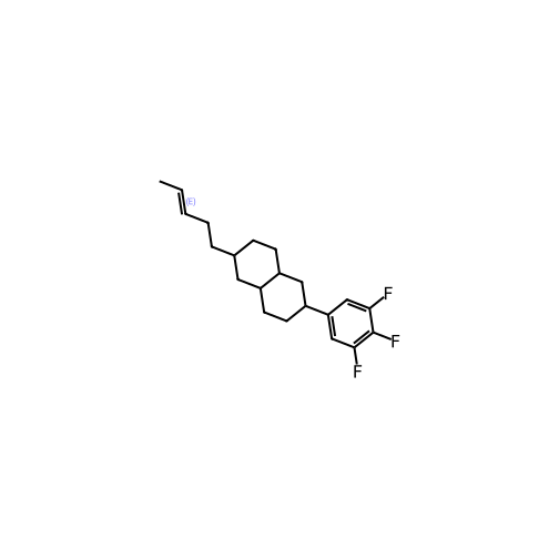 C/C=C/CCC1CCC2CC(c3cc(F)c(F)c(F)c3)CCC2C1